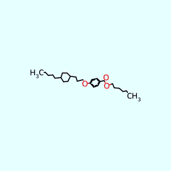 CCCCCCOC(=O)c1ccc(OCCCC2CCC(CCCCC)CC2)cc1